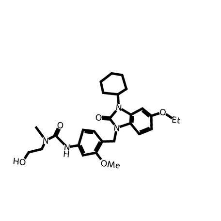 CCOc1ccc2c(c1)n(C1CCCCC1)c(=O)n2Cc1ccc(NC(=O)N(C)CCO)cc1OC